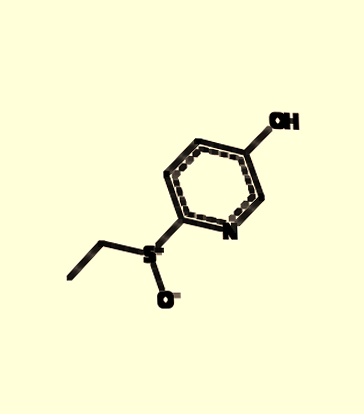 CC[S+]([O-])c1ccc(O)cn1